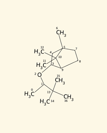 CC(OC1CC2(C)CCC1C2(C)C)C(C)(C)C